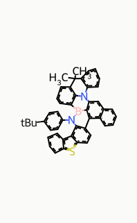 CC(C)(C)c1ccc(N2B3c4cccc5c4N(c4ccccc4C5(C)C)c4cc5ccccc5c(c43)-c3ccc4sc5ccccc5c4c32)cc1